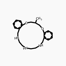 CC1COc2ccccc2CNCCNCCNCc2ccccc2OC1